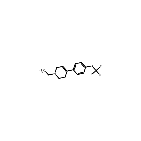 [CH2]CN1CC=C(c2ccc(OC(F)(F)F)cc2)CC1